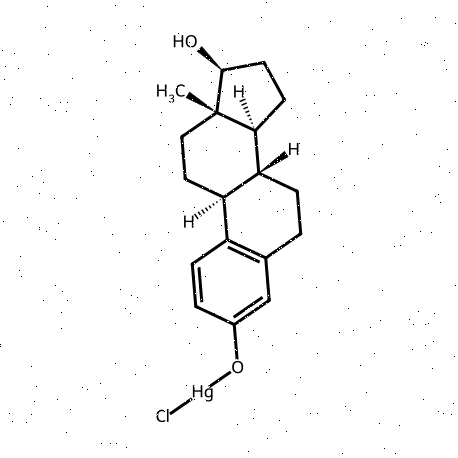 C[C@]12CC[C@@H]3c4ccc([O][Hg][Cl])cc4CC[C@H]3[C@@H]1CC[C@@H]2O